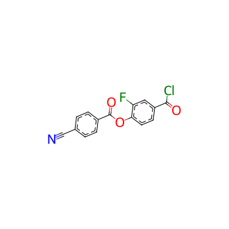 N#Cc1ccc(C(=O)Oc2ccc(C(=O)Cl)cc2F)cc1